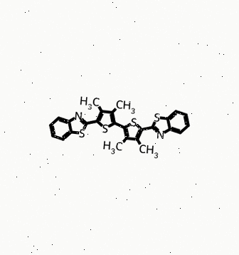 Cc1c(-c2nc3ccccc3s2)sc(-c2sc(-c3nc4ccccc4s3)c(C)c2C)c1C